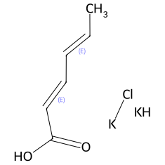 C/C=C/C=C/C(=O)O.[Cl][K].[KH]